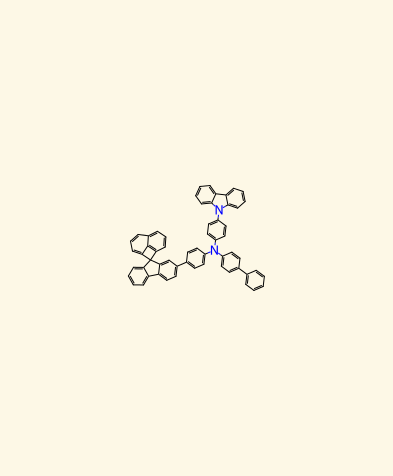 c1ccc(-c2ccc(N(c3ccc(-c4ccc5c(c4)C4(c6ccccc6-5)c5cccc6cccc4c56)cc3)c3ccc(-n4c5ccccc5c5ccccc54)cc3)cc2)cc1